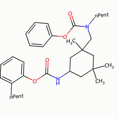 CCCCCc1ccccc1OC(=O)NC1CC(C)(C)CC(C)(CN(CCCCC)C(=O)Oc2ccccc2)C1